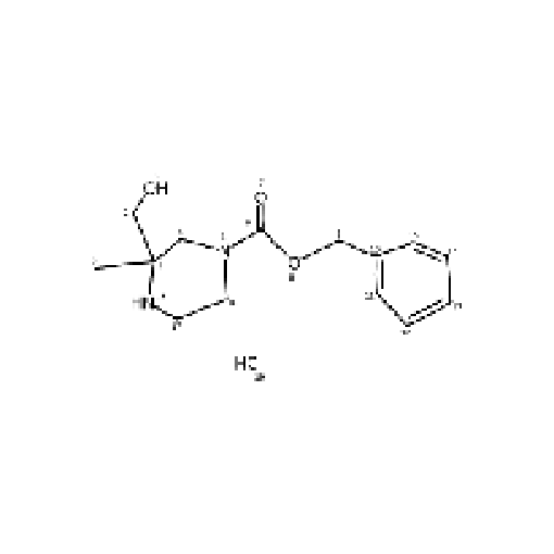 CC1(CO)CN(C(=O)OCc2ccccc2)CCN1.Cl